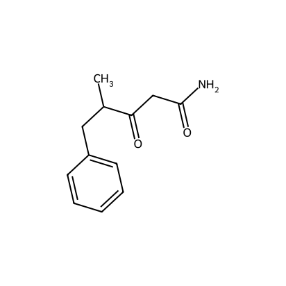 CC(Cc1ccccc1)C(=O)CC(N)=O